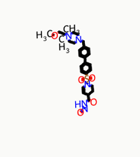 COCC(C)(C)N1CCN(Cc2ccc(-c3ccc(S(=O)(=O)N4C=CC(C(=O)NN=O)CC4)cc3)cc2)CC1